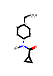 CC(C)N(C(=O)C1CC1)[C@H]1CC[C@H](CC(=O)O)CC1